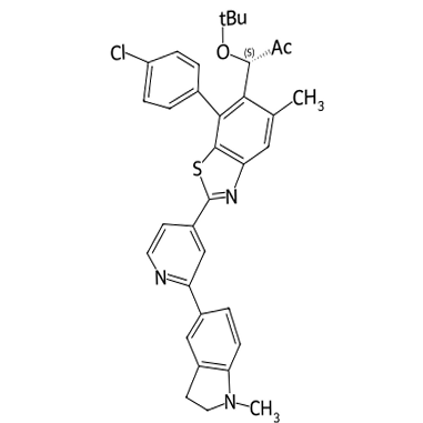 CC(=O)[C@@H](OC(C)(C)C)c1c(C)cc2nc(-c3ccnc(-c4ccc5c(c4)CCN5C)c3)sc2c1-c1ccc(Cl)cc1